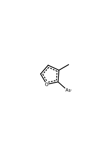 Cc1ccoc1[As]